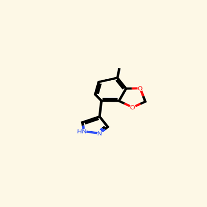 Cc1ccc(-c2cn[nH]c2)c2c1OCO2